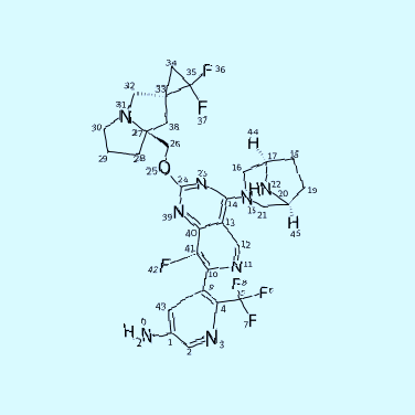 Nc1cnc(C(F)(F)F)c(-c2ncc3c(N4C[C@H]5CC[C@@H](C4)N5)nc(OC[C@@]45CCCN4C[C@@]4(CC4(F)F)C5)nc3c2F)c1